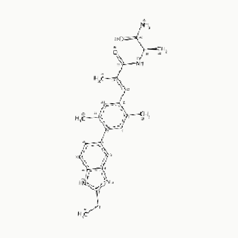 CCc1nc2cc(-c3cc(C)c(/C=C(\C)C(=O)N[C@H](C)C(N)=O)cc3C)ccc2[nH]1